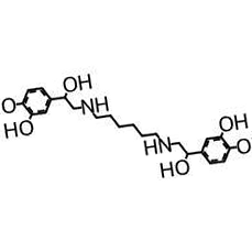 Oc1ccc(C(O)CNCCCCCCNCC(O)c2ccc(O)c(O)c2)cc1O